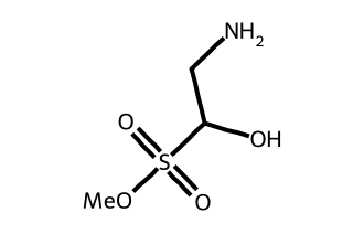 COS(=O)(=O)C(O)CN